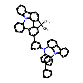 CC1(C)c2cc(-c3cccc(N(c4ccc(-c5ccccc5)cc4)c4cccc5c6ccccc6n(-c6ccccc6)c45)c3)cc3c2-c2c1ccc1c4ccccc4n(c21)-c1ccccc1-3